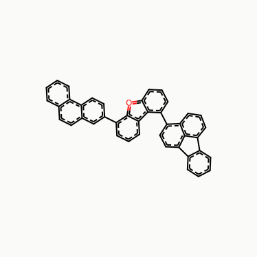 c1ccc2c(c1)-c1cccc3c(-c4cccc5oc6c(-c7ccc8c(ccc9ccccc98)c7)cccc6c45)ccc-2c13